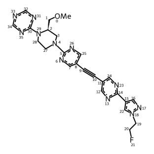 COC[C@H]1CN(c2ncc(C#Cc3cnc(-c4cnn(CCF)c4)nc3)cn2)CCN1c1ncncn1